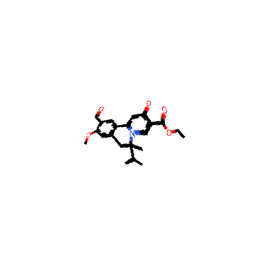 CCOC(=O)c1cn2c(cc1=O)-c1cc(C=O)c(OC)cc1CC2(C)C(C)C